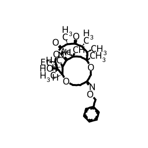 CC[C@H]1OC(=O)[C@H](C)C(=O)[C@H](C)[C@@H](C)[C@@]2(C)C[C@@H](C)/C(=N\C(C)=O)[C@H](C)[C@@H](OCC/C(=N\OCc3ccccc3)CO2)[C@]1(C)O